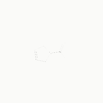 [O]C(=O)N1CC=CC1